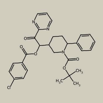 CC(C)(C)OC(=O)N1CC(C(OC(=O)c2ccc(Cl)cc2)C(=O)c2ncccn2)CCC1c1ccccc1